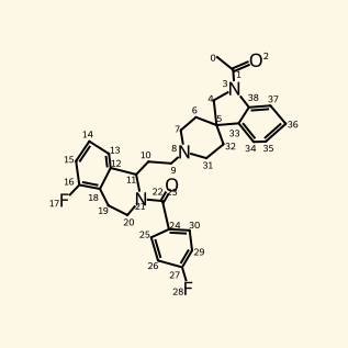 CC(=O)N1CC2(CCN(CCC3c4cccc(F)c4CCN3C(=O)c3ccc(F)cc3)CC2)c2ccccc21